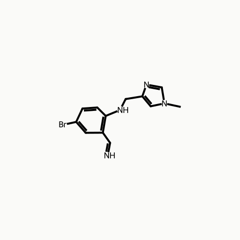 Cn1cnc(CNc2ccc(Br)cc2C=N)c1